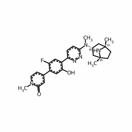 CN(c1ccc(-c2cc(F)c(-c3ccn(C)c(=O)c3)cc2O)nn1)[C@@H]1C[C@]2(C)CC[C@](C)(C1)N2